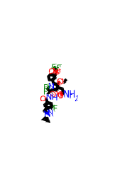 CCOc1c(CC(N)=O)cc([C@@](O)(CNC(=O)c2cc(F)c3nn(C4CC4)cc3c2)C(F)(F)F)nc1-c1ccc2c(c1)OC(F)(F)O2